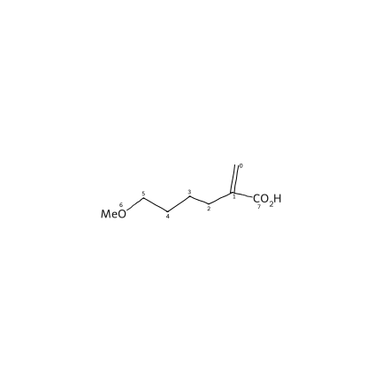 C=C(CCCCOC)C(=O)O